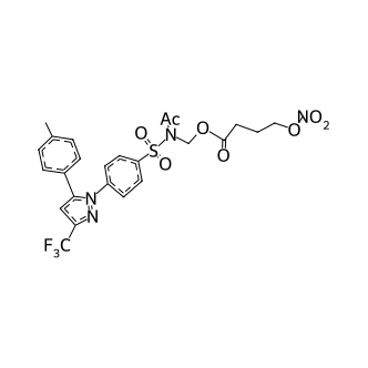 CC(=O)N(COC(=O)CCCO[N+](=O)[O-])S(=O)(=O)c1ccc(-n2nc(C(F)(F)F)cc2-c2ccc(C)cc2)cc1